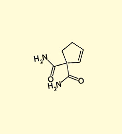 NC(=O)C1(C(N)=O)C=CCC1